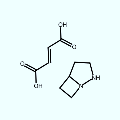 C1CC2CCN2N1.O=C(O)C=CC(=O)O